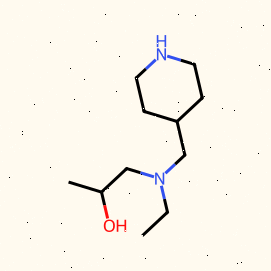 CCN(CC(C)O)CC1CCNCC1